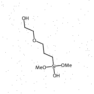 CO[Si](O)(CCCOCCO)OC